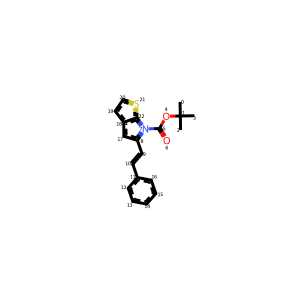 CC(C)(C)OC(=O)n1c(C=Cc2ccccc2)cc2ccsc21